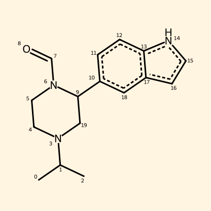 CC(C)N1CCN(C=O)C(c2ccc3[nH]ccc3c2)C1